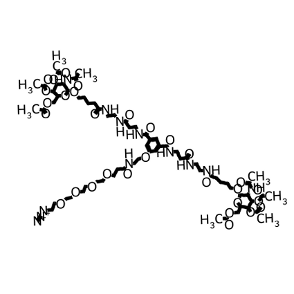 CC(=O)NC1C(OCCCCC(=O)NCCNC(=O)CCNC(=O)c2cc(OCCNC(=O)CCOCCOCCOCCOCCN=[N+]=[N-])cc(C(=O)NCCC(=O)NCCNC(=O)CCCCOC3OC(COC(C)=O)C(OC(C)=O)C(OC(C)=O)C3NC(C)=O)c2)OC(COC(C)=O)C(OC(C)=O)C1OC(C)=O